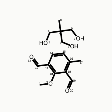 CC(CO)(CO)CO.COc1c(C=O)ccc(C)c1C=O